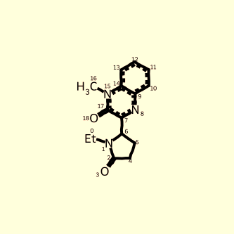 CCN1C(=O)CCC1c1nc2ccccc2n(C)c1=O